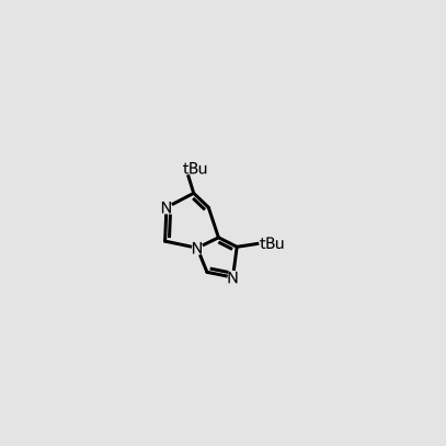 CC(C)(C)c1cc2c(C(C)(C)C)ncn2cn1